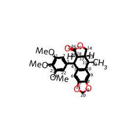 COc1cc(C2c3cc4c(cc3[C@H](C)[C@H]3COC(=O)[C@H]23)OCO4)cc(OC)c1OC